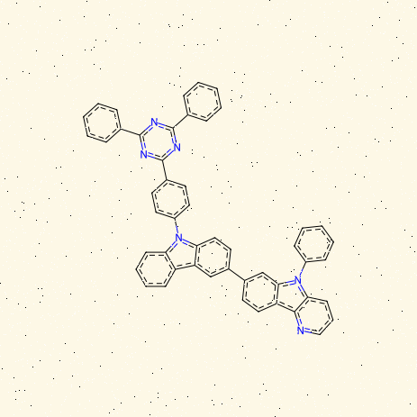 c1ccc(-c2nc(-c3ccccc3)nc(-c3ccc(-n4c5ccccc5c5cc(-c6ccc7c8ncccc8n(-c8ccccc8)c7c6)ccc54)cc3)n2)cc1